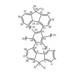 CC1(C)c2ccccc2-c2c(-c3c(F)c(F)c(-c4cccc5c4-c4ccccc4C5(C)C)c(F)c3F)cccc21